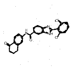 O=C(Nc1ccc2c(c1)CCCC2=O)c1ccc2nc(-c3c(Cl)cccc3Cl)[nH]c2c1